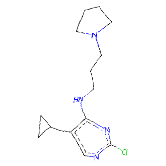 Clc1ncc(C2CC2)c(NCCCN2CCCC2)n1